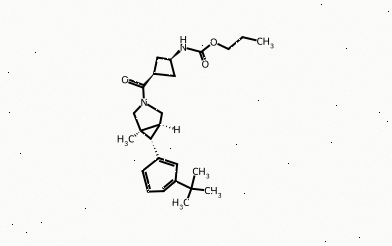 CCCOC(=O)N[C@H]1C[C@@H](C(=O)N2C[C@H]3[C@H](c4cccc(C(C)(C)C)c4)[C@@]3(C)C2)C1